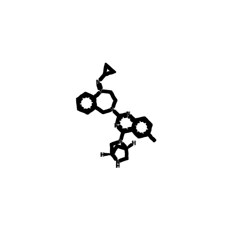 Cc1ccc2nc(N3CCS(=NC4CC4)c4ccccc4C3)nc(N3C[C@@H]4C[C@H]3CN4)c2c1